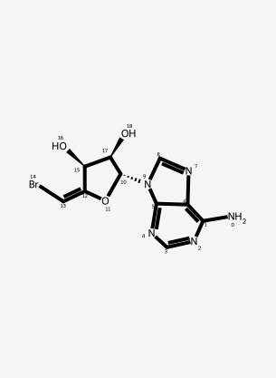 Nc1ncnc2c1ncn2[C@@H]1OC(=CBr)[C@@H](O)[C@H]1O